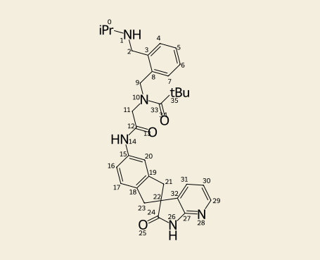 CC(C)NCc1ccccc1CN(CC(=O)Nc1ccc2c(c1)CC1(C2)C(=O)Nc2ncccc21)C(=O)C(C)(C)C